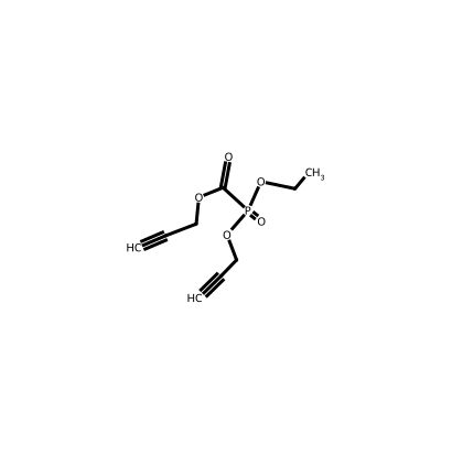 C#CCOC(=O)P(=O)(OCC)OCC#C